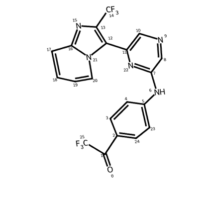 O=C(c1ccc(Nc2cncc(-c3c(C(F)(F)F)nc4ccccn34)n2)cc1)C(F)(F)F